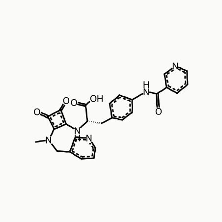 CN(Cc1cccnc1)c1c(N[C@@H](Cc2ccc(NC(=O)c3cccnc3)cc2)C(=O)O)c(=O)c1=O